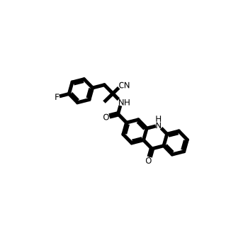 CC(C#N)(Cc1ccc(F)cc1)NC(=O)c1ccc2c(=O)c3ccccc3[nH]c2c1